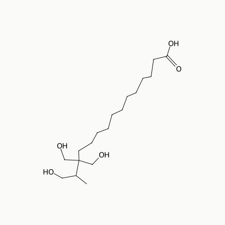 CC(CO)C(CO)(CO)CCCCCCCCCCCC(=O)O